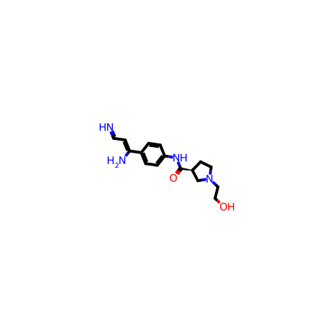 N=C/C=C(\N)c1ccc(NC(=O)[C@H]2CCN(CCO)C2)cc1